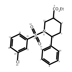 CCOC(=O)C1CCC(c2ccccc2)N(S(=O)(=O)c2cccc(Cl)c2)C1